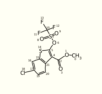 COC(=O)c1c(OS(=O)(=O)C(F)(F)F)sc2cc(Cl)ccc12